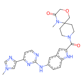 CN1C(=O)COCC12CCN(C(=O)c1cc3cc(Nc4nccc(-c5cn(C)cn5)n4)ccc3[nH]1)CC2